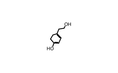 OCCC1=CC=C(O)CC1